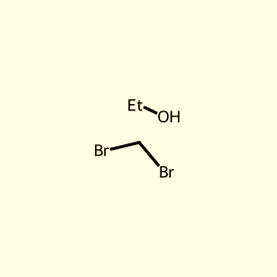 BrCBr.CCO